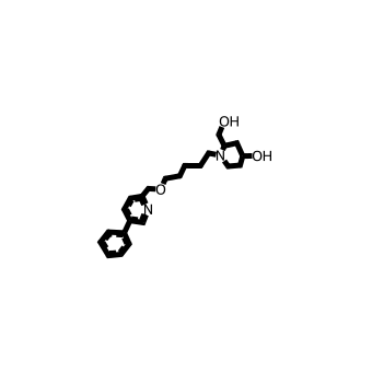 OCC1CC(O)CCN1CCCCCOCc1ccc(-c2ccccc2)cn1